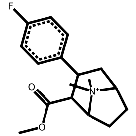 COC(=O)C1C(c2ccc(F)cc2)CC2CCC1[N+]2(C)C